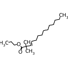 CCCCCCCCCCCCC(C)(C)C(=O)OCCC